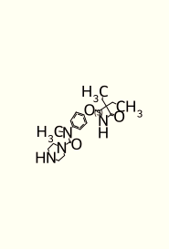 CCC1(CC)C(=O)N[C@H]1Oc1ccc(N(C)C(=O)N2CCNCC2)cc1